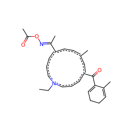 CCn1cccc(C(=O)C2=CCCC=C2C)cc(C)ccc(/C(C)=N/OC(C)=O)ccc1